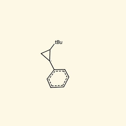 CC(C)(C)C1C[C]1c1ccccc1